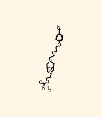 N#Cc1ccc(OCCOCCN2CC3CN(CCOC(N)=O)CC(C2)O3)cc1